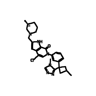 CC1CC(c2cccc(-n3cc(Cl)c4cc(CN5CCC[C@H](C)C5)[nH]c4c3=O)c2)(c2nncn2C)C1